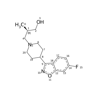 C[C@@H](CO)CN1CCC(c2noc3cc(F)ccc23)CC1